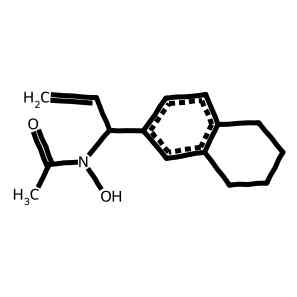 C=CC(c1ccc2c(c1)CCCC2)N(O)C(C)=O